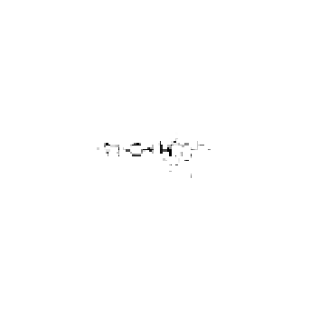 CCn1c(=O)c2c(nc(/C=C/c3ccc(OCC4COC4)cc3)n2C)n(CC)c1=O